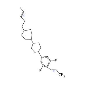 C/C=C/CCC1CCC(C2CCC(c3cc(F)c(/C=C/C(F)(F)F)c(F)c3)CC2)CC1